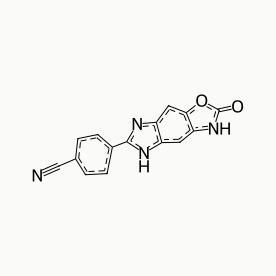 N#Cc1ccc(-c2nc3cc4oc(=O)[nH]c4cc3[nH]2)cc1